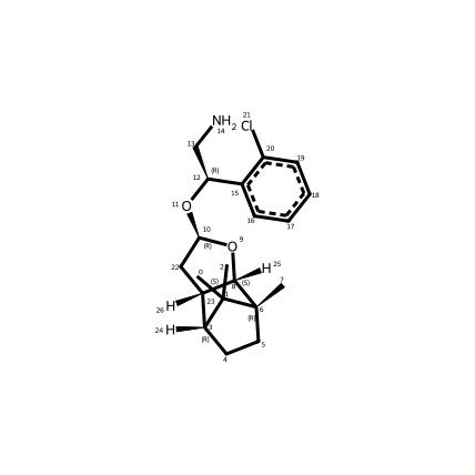 CC1(C)[C@@H]2CC[C@@]1(C)[C@H]1O[C@H](O[C@@H](CN)c3ccccc3Cl)C[C@@H]21